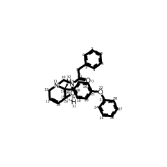 O=C(Cc1ccccc1)N1CN2CC=C[C@H](O1)[C@H]2c1ccc(Oc2ccccc2)cc1